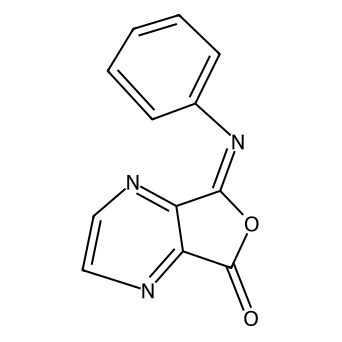 O=C1O/C(=N/c2ccccc2)c2nccnc21